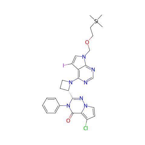 C[Si](C)(C)CCOCn1cc(I)c2c(N3CC[C@H]3c3nn4ccc(Cl)c4c(=O)n3-c3ccccc3)ncnc21